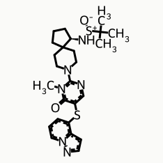 Cn1c(N2CCC3(CCC[C@H]3N[S+]([O-])C(C)(C)C)CC2)ncc(Sc2cccn3nccc23)c1=O